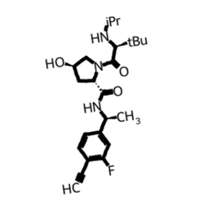 C#Cc1ccc([C@H](C)NC(=O)[C@@H]2C[C@@H](O)CN2C(=O)[C@@H](NC(C)C)C(C)(C)C)cc1F